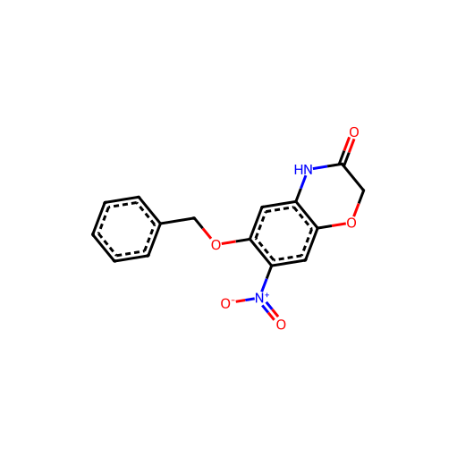 O=C1COc2cc([N+](=O)[O-])c(OCc3ccccc3)cc2N1